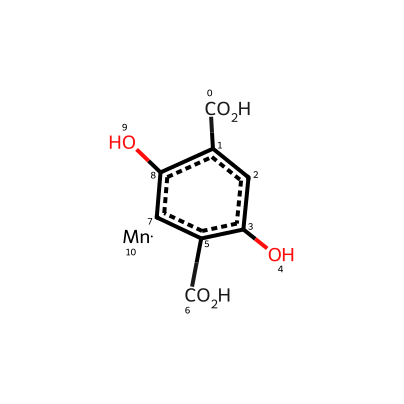 O=C(O)c1cc(O)c(C(=O)O)cc1O.[Mn]